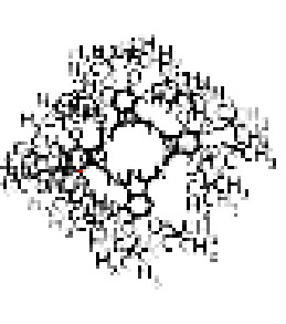 CC(C)(C)COc1cc2c(c(OCC(C)(C)C)c1OCC(C)(C)C)-c1nc-2nc2[nH]c(nc3nc(nc4c5c(OCC(C)(C)C)c(OCC(C)(C)C)c(OCC(C)(C)C)c(OCC(C)(C)C)c5c(n1)n4OCC(C)(C)C)-c1c(OCC(C)(C)C)c(OCC(C)(C)C)c(OCC(C)(C)C)c(OCC(C)(C)C)c1-3)c1c(OCC(C)(C)C)c(OCC(C)(C)C)c(OCC(C)(C)C)c(OCC(C)(C)C)c21